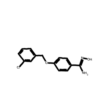 NC(=NO)c1ccc(OCc2cccc(Cl)c2)cc1